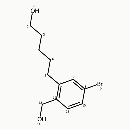 OCCCCCc1cc(Br)ccc1CO